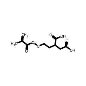 C=C(C)C(=O)OOCCC(CC(=O)O)C(=O)O